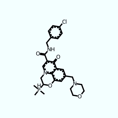 C[PH](C)(C)C1Cn2cc(C(=O)NCc3ccc(Cl)cc3)c(=O)c3cc(CN4CCOCC4)cc(c32)O1